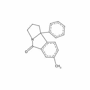 Cc1ccc2c(c1)C(=O)N1CCCC21c1ccccc1